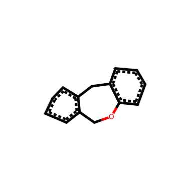 [c]1cccc2c1Cc1ccccc1CO2